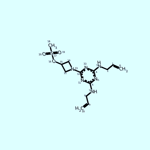 C=CCNc1nc(NCC=C)nc(N2CC(OS(C)(=O)=O)C2)n1